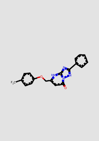 O=c1cc(COc2ccc(C(F)(F)F)cc2)[nH]c2nc(-c3ccccc3)nn12